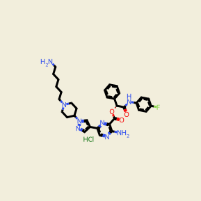 Cl.NCCCCCCN1CCC(n2cc(-c3cnc(N)c(C(=O)O[C@@H](C(=O)Nc4ccc(F)cc4)c4ccccc4)n3)cn2)CC1